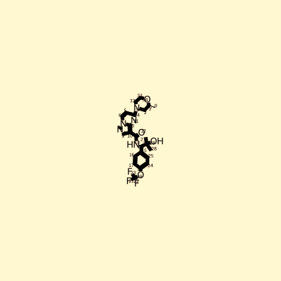 C[C@@H]1CN(c2ccn3ncc(C(=O)N[C@@H](c4ccc(OC(F)(F)F)cc4)C(C)(C)O)c3n2)CCO1